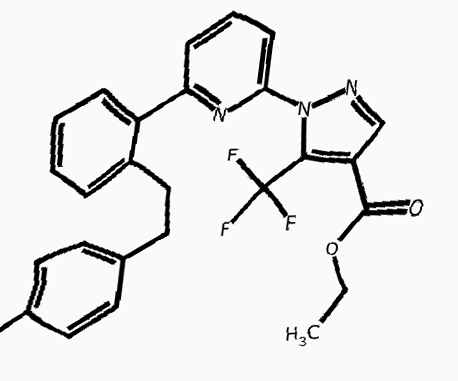 CCOC(=O)c1cnn(-c2cccc(-c3ccccc3CCc3ccc(O)cc3)n2)c1C(F)(F)F